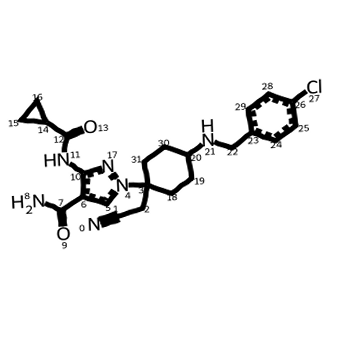 N#CCC1(n2cc(C(N)=O)c(NC(=O)C3CC3)n2)CCC(NCc2ccc(Cl)cc2)CC1